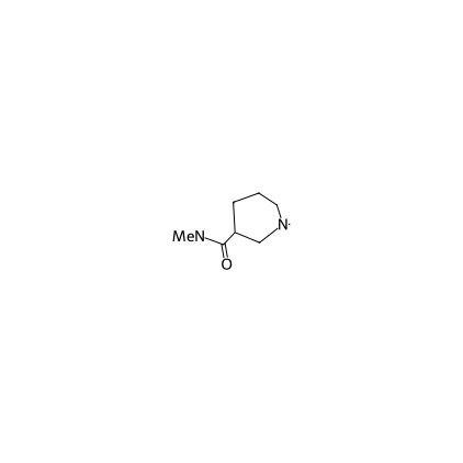 CNC(=O)C1CCC[N]C1